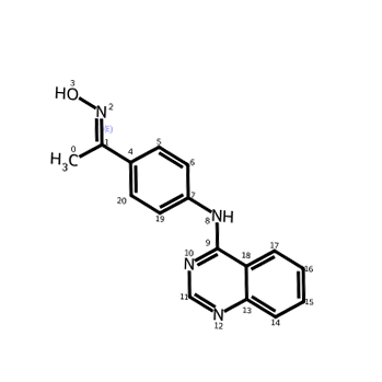 C/C(=N\O)c1ccc(Nc2ncnc3ccccc23)cc1